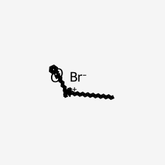 CCCCCCCCCCCCCCCCCC[N+](CC)(CC)CCCCCCC(=O)Oc1ccccc1.[Br-]